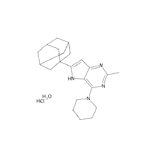 Cc1nc(N2CCCCC2)c2[nH]c(C34CC5CC(CC(C5)C3)C4)cc2n1.Cl.O